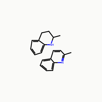 CC1CCc2ccccc2N1.Cc1ccc2ccccc2n1